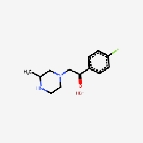 Br.CC1CN(CC(=O)c2ccc(F)cc2)CCN1